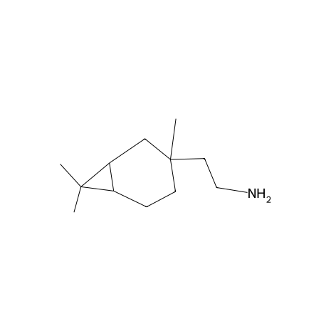 CC1(CCN)CCC2C(C1)C2(C)C